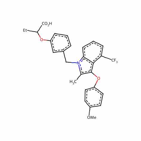 CCC(Oc1cccc(Cn2c(C)c(Oc3ccc(OC)cc3)c3c(C(F)(F)F)cccc32)c1)C(=O)O